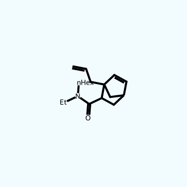 C=CCC12C=CC(CC1C(=O)N(CC)CCCCCC)C2